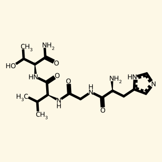 CC(C)[C@H](NC(=O)CNC(=O)[C@@H](N)Cc1cnc[nH]1)C(=O)N[C@H](C(N)=O)C(C)O